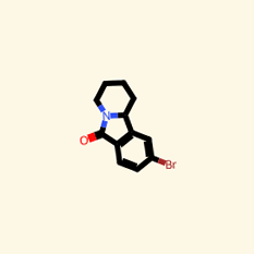 O=C1c2ccc(Br)cc2C2CCCCN12